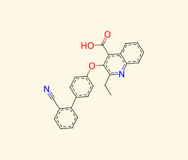 CCc1nc2ccccc2c(C(=O)O)c1Oc1ccc(-c2ccccc2C#N)cc1